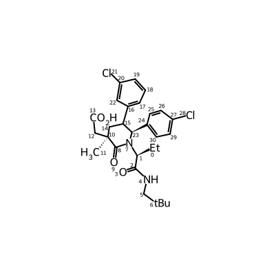 CC[C@@H](C(=O)NCC(C)(C)C)N1C(=O)[C@@](C)(CC(=O)O)CC(c2cccc(Cl)c2)[C@H]1c1ccc(Cl)cc1